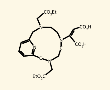 CCOC(=O)CN1CCN(C(=CC(=O)O)C(=O)O)CCN(CC(=O)OCC)Cc2cccc(n2)C1